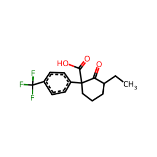 CCC1CCCC(C(=O)O)(c2ccc(C(F)(F)F)cc2)C1=O